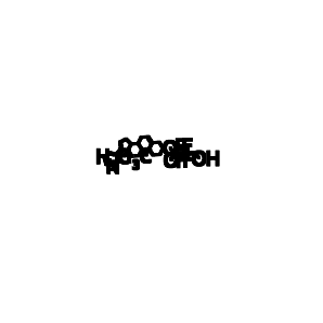 C[C@]12CC[C@H](OC(=O)C(F)(F)C(F)(F)CO)CC1=CCC1C2CC[C@]2(C)C(c3cccnc3)=CCC12